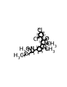 CCOCc1cc(-c2ccc3c(c2)c2cc(-c4ccc(Cl)cc4Cl)c(=O)n(C)c2n3C)nn1C